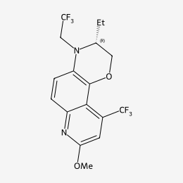 CC[C@@H]1COc2c(ccc3nc(OC)cc(C(F)(F)F)c23)N1CC(F)(F)F